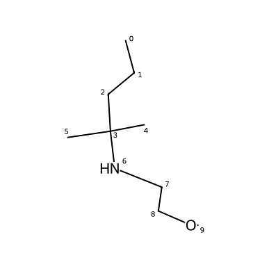 CCCC(C)(C)NCC[O]